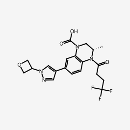 C[C@H]1CN(C(=O)O)c2cc(-c3cnn(C4COC4)c3)ccc2N1C(=O)CCC(F)(F)F